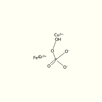 O=P([O-])([O-])OO.[Cr+3].[Cu+2].[Fe+2]